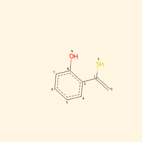 C=C(S)c1ccccc1O